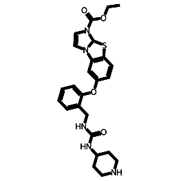 CCOC(=O)N1C=CN2c3cc(Oc4ccccc4CNC(=O)NC4CCNCC4)ccc3SC12